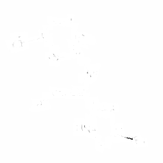 Cl.O=C(Nc1cccc(Cl)n1)[C@@H]1C[C@@H](F)CN1